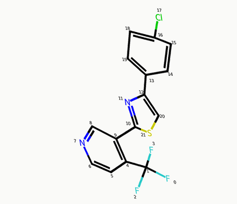 FC(F)(F)c1ccncc1-c1nc(-c2ccc(Cl)cc2)cs1